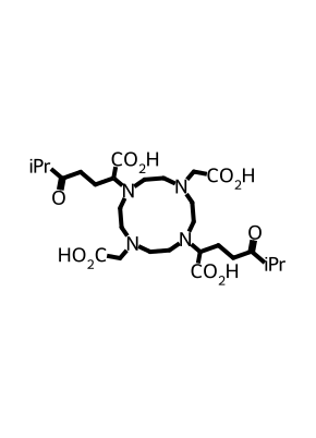 CC(C)C(=O)CCC(C(=O)O)N1CCN(CC(=O)O)CCN(C(CCC(=O)C(C)C)C(=O)O)CCN(CC(=O)O)CC1